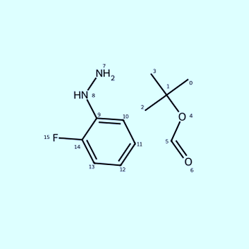 CC(C)(C)OC=O.NNc1ccccc1F